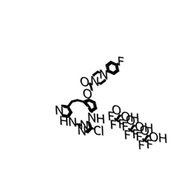 O=C(COc1ccc2cc1CCc1cncc(c1)Nc1ncc(Cl)c(n1)N2)N1CCN(c2ccc(F)cc2)CC1.O=C(O)C(F)(F)F.O=C(O)C(F)(F)F.O=C(O)C(F)(F)F